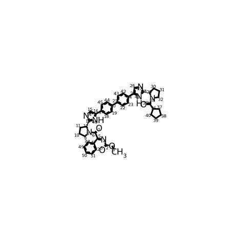 COC(=O)/N=C(/C(=O)N1CCC[C@H]1c1ncc(-c2ccc(-c3ccc(-c4cnc([C@@H]5CCCN5C(=O)C5CCCC5)[nH]4)cc3)cc2)[nH]1)c1ccccc1